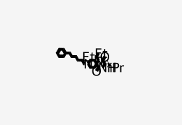 CCC(CC)N1C(=O)[C@H](CC(C)C)NC(=O)C12CCN(CCCCCCc1ccccc1)CC2